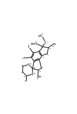 CCCSC1(SC)c2c(F)c(F)c3c(c2CC1CCC)CC(CCC)C31SCCC(C)S1